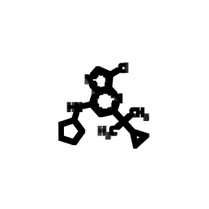 CC(C)(c1cc(NC2CCCC2)n2ncc(Cl)c2n1)C1CC1